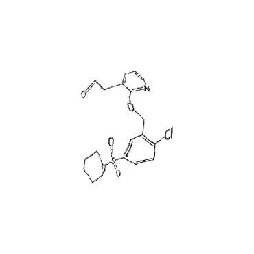 O=CCc1cccnc1OCc1cc(S(=O)(=O)N2CCCCC2)ccc1Cl